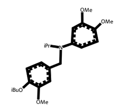 COc1ccc(N(Cc2ccc(OCC(C)C)c(OC)c2)C(C)C)cc1OC